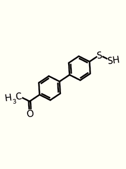 CC(=O)c1ccc(-c2ccc(SS)cc2)cc1